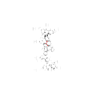 Cc1ccc(N(c2ccc3c(c2)C(C)(C)c2cc4c(cc2-3)N(c2ccccc2-c2ccccc2)c2cc3c(cc2O4)C(C)(C)c2cc(N(c4ccc(C)cc4C)c4ccc(C)cc4C)ccc2-3)c2ccc(C)cc2C)c(C)c1